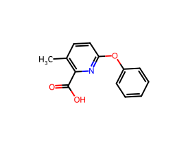 Cc1ccc(Oc2ccccc2)nc1C(=O)O